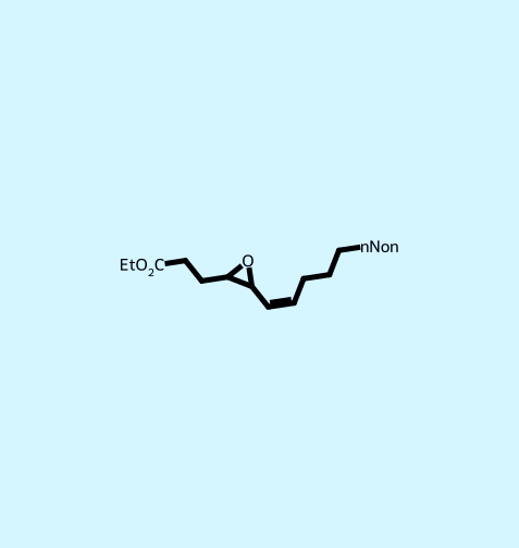 CCCCCCCCCCCC/C=C\C1OC1CCC(=O)OCC